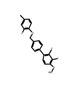 CCCCOc1ccc(-c2ccc(COc3ccc(C)cc3F)cc2)c(F)c1F